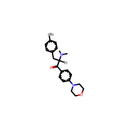 CCCCc1ccc(CC(CC)(C(=O)c2ccc(N3CCOCC3)cc2)N(C)C)cc1